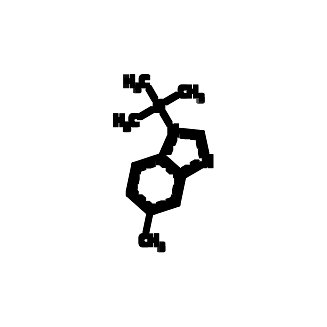 Cc1ccc2c(c1)ncn2[Si](C)(C)C